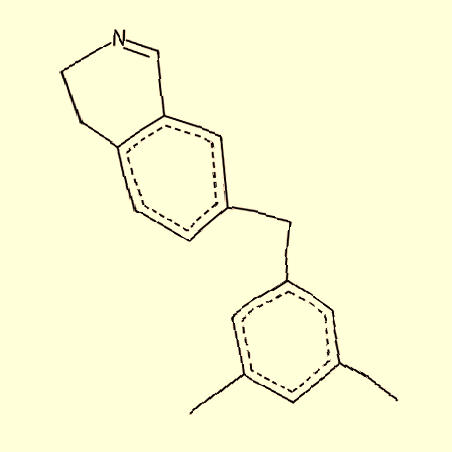 Cc1cc(C)cc(Cc2ccc3c(c2)C=NCC3)c1